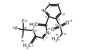 C=C(/C=N\C(=C)c1ncccc1S(=O)(=O)CC)SC(F)(F)F